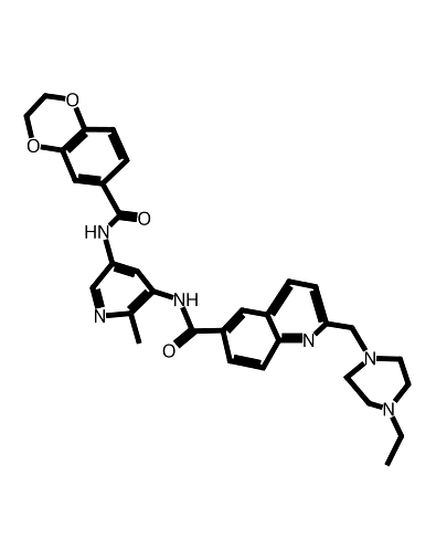 CCN1CCN(Cc2ccc3cc(C(=O)Nc4cc(NC(=O)c5ccc6c(c5)OCCO6)cnc4C)ccc3n2)CC1